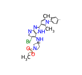 CCS(=O)(=O)N1CC[C@H](Nc2c(Br)cnc3nc(-c4cc(C)n(-c5cc[c]cc5)c4C)[nH]c23)C1